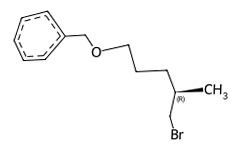 C[C@@H](CBr)CCCOCc1ccccc1